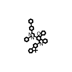 CC1(C)c2ccccc2-c2ccc(-c3nc4ccccc4c4c3cc(-c3cc(-c5ccc(-c6ccccc6)cc5)nc(-c5ccccc5)n3)c3oc5ccccc5c34)cc21